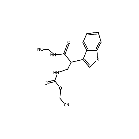 N#CCNC(=O)C(CNC(=O)OCC#N)c1csc2ccccc12